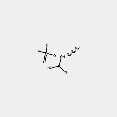 O=P([O-])([O-])[O-].OB(O)O.[Na+].[Na+].[Na+]